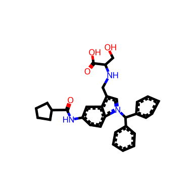 O=C(Nc1ccc2c(c1)c(CNC(CO)C(=O)O)cn2C(c1ccccc1)c1ccccc1)C1CCCC1